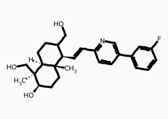 C[C@]1(CO)[C@H]2CCC(CO)[C@@H](/C=C/c3ccc(-c4cccc(F)c4)cn3)[C@]2(C)CC[C@H]1O